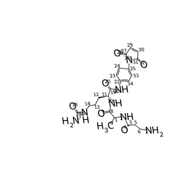 CC(NC(=O)CCN)C(=O)N[C@@H](CCCNC(N)=O)C(=O)Nc1ccc(N2C(=O)C=CC2=O)cc1